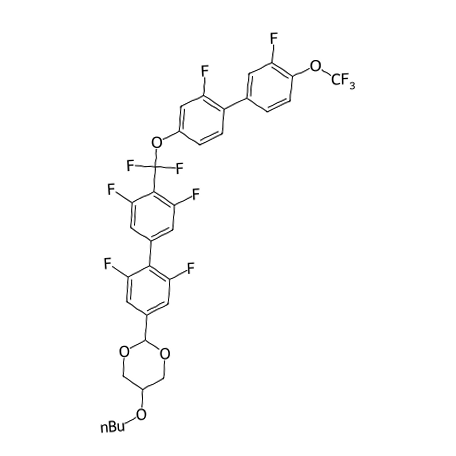 CCCCOC1COC(c2cc(F)c(-c3cc(F)c(C(F)(F)Oc4ccc(-c5ccc(OC(F)(F)F)c(F)c5)c(F)c4)c(F)c3)c(F)c2)OC1